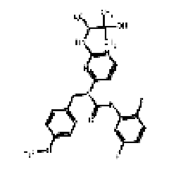 COc1ccc(CN(C(=O)Nc2cc(F)ccc2F)c2ccnc(N[C@@H](C)C(C)(C)O)n2)cc1